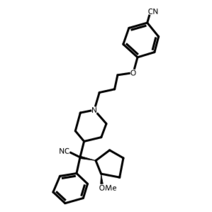 CO[C@@H]1CCC[C@@H]1C(C#N)(c1ccccc1)C1CCN(CCCOc2ccc(C#N)cc2)CC1